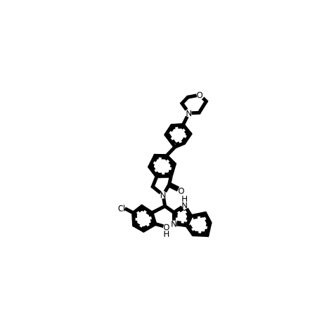 O=C1c2cc(-c3ccc(N4CCOCC4)cc3)ccc2CN1C(c1nc2ccccc2[nH]1)c1cc(Cl)ccc1O